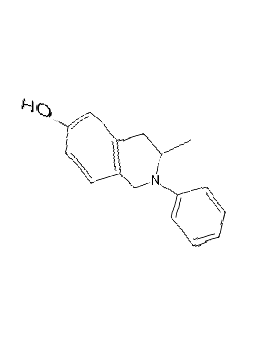 CC1Cc2cc(O)ccc2CN1c1ccccc1